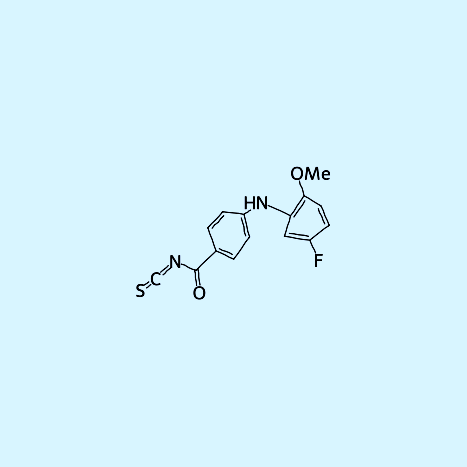 COc1ccc(F)cc1Nc1ccc(C(=O)N=C=S)cc1